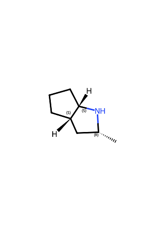 C[C@@H]1C[C@@H]2CCC[C@@H]2N1